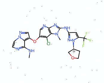 CNc1nccn2ncc(Oc3cnc4nc(Nc5cc(C(F)(F)F)n([C@H]6CCOC6)n5)n(C)c4c3Cl)c12